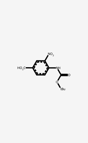 CC(C)(C)OC(=O)Nc1ccc(C(=O)O)cc1[N+](=O)[O-]